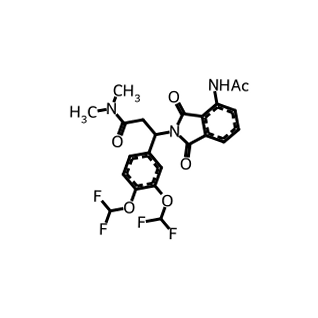 CC(=O)Nc1cccc2c1C(=O)N(C(CC(=O)N(C)C)c1ccc(OC(F)F)c(OC(F)F)c1)C2=O